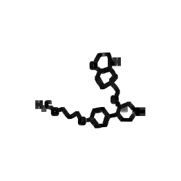 COCCCOc1ccc(C2CCNC[C@@H]2OCc2ccc3c(c2)NCCO3)cc1